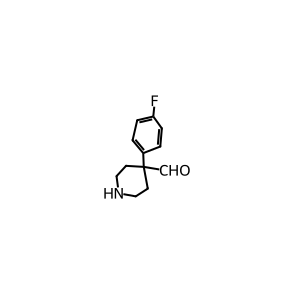 O=CC1(c2ccc(F)cc2)CCNCC1